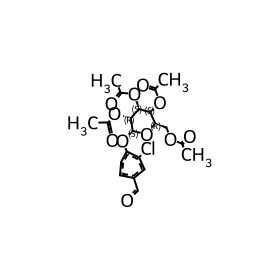 CC(=O)OC[C@H]1O[C@@H](Oc2ccc(C=O)cc2Cl)[C@H](OC(C)=O)[C@@H](OC(C)=O)[C@H]1OC(C)=O